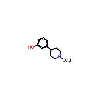 O=C(O)N1CCC(c2cccc(O)c2)CC1